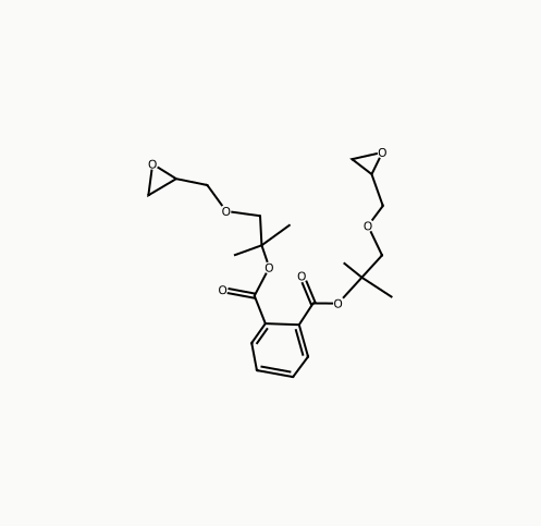 CC(C)(COCC1CO1)OC(=O)c1ccccc1C(=O)OC(C)(C)COCC1CO1